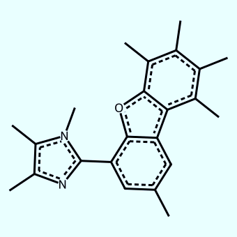 Cc1cc(-c2nc(C)c(C)n2C)c2oc3c(C)c(C)c(C)c(C)c3c2c1